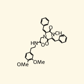 COc1ccc(CCNC(=O)Cn2c(=O)c(=Cc3ccccc3)n(C)c(=O)c2=Cc2ccccc2)cc1OC